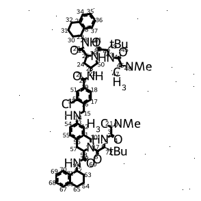 CN[C@@H](C)C(=O)N[C@H](C(=O)N1Cc2cc(NCc3ccc(C(=O)NC4CC(C(=O)N[C@@H]5CCCc6ccccc65)N(C(=O)[C@@H](NC(=O)[C@H](C)NC)C(C)(C)C)C4)cc3Cl)ccc2CC1C(=O)NC1CCCc2ccccc21)C(C)(C)C